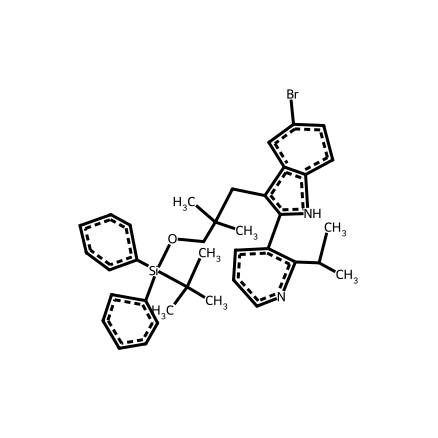 CC(C)c1ncccc1-c1[nH]c2ccc(Br)cc2c1CC(C)(C)CO[Si](c1ccccc1)(c1ccccc1)C(C)(C)C